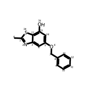 Cc1nc2cc(OCc3ccccc3)cc(O)c2s1